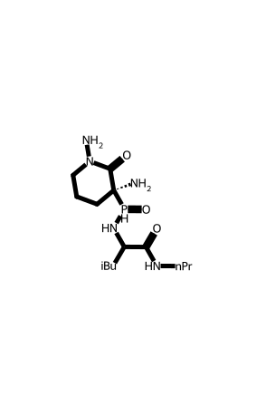 CCCNC(=O)C(N[PH](=O)[C@@]1(N)CCCN(N)C1=O)C(C)CC